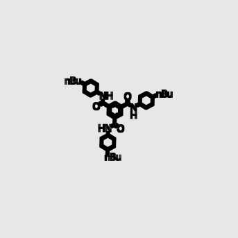 CCCCC1CCC(NC(=O)c2cc(C(=O)NC3CCC(CCCC)CC3)cc(C(=O)NC3CCC(CCCC)CC3)c2)CC1